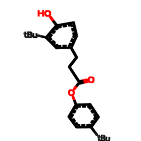 CC(C)(C)c1ccc(OC(=O)CCc2ccc(O)c(C(C)(C)C)c2)cc1